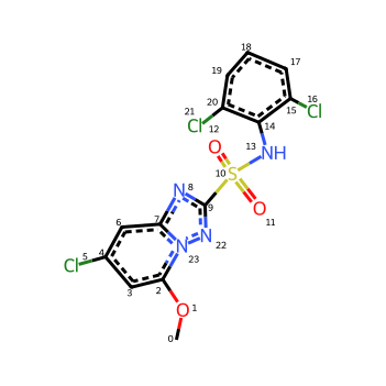 COc1cc(Cl)cc2nc(S(=O)(=O)Nc3c(Cl)cccc3Cl)nn12